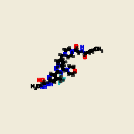 CC#CC(=O)NCC(=O)N1CCN(Cc2cc3c(N4CCOCC4)nc(-c4cnc(NC(O)NC)cc4C(F)(F)F)nn3c2)CC1